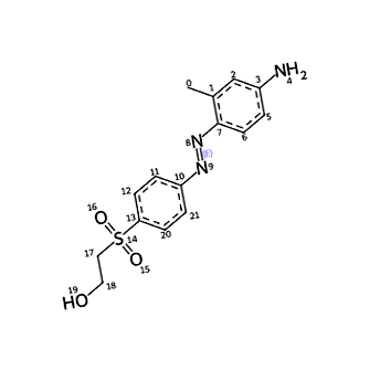 Cc1cc(N)ccc1/N=N/c1ccc(S(=O)(=O)CCO)cc1